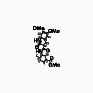 COC(=O)c1ccc(C)c(NC(=O)C2Cc3cc(OC)c(OC)cc3NC2=O)c1